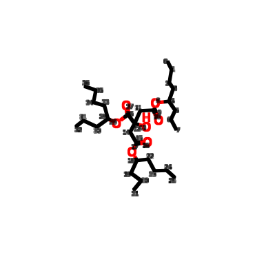 CCCCC(CCC)OC(=O)CC(O)(CC(=O)OC(CCC)CCCC)C(=O)OC(CCC)CCCC